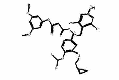 COc1cc(OC)cc(OC(=O)CC(=O)O[C@@H](Cc2c(Cl)c[n+](O)cc2Cl)c2ccc(OC(F)F)c(OCC3CC3)c2)c1